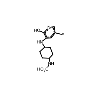 O=C(O)NC1CCC(Nc2cc(F)cnc2O)CC1